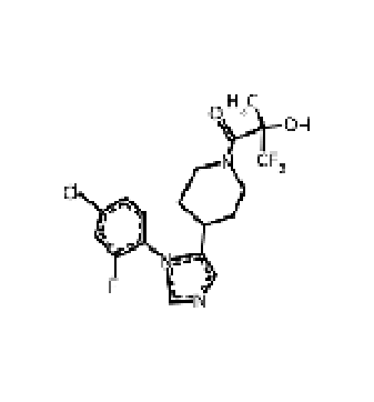 CC(O)(C(=O)N1CCC(c2cncn2-c2ccc(Cl)cc2F)CC1)C(F)(F)F